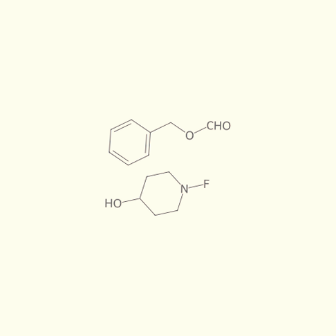 O=COCc1ccccc1.OC1CCN(F)CC1